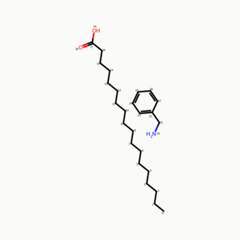 CCCCCCCCCCCCCCCCCC(=O)O.NCc1ccccc1